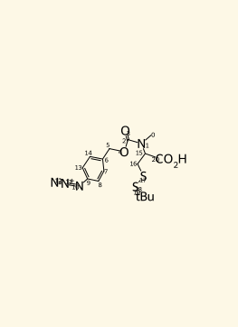 CN(C(=O)OCc1ccc(N=[N+]=[N-])cc1)C(CSSC(C)(C)C)C(=O)O